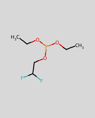 CCOP(OCC)OCC(F)F